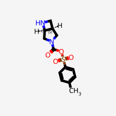 Cc1ccc(S(=O)(=O)OC(=O)N2C[C@@H]3CN[C@@H]3C2)cc1